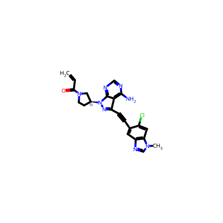 C=CC(=O)N1CC[C@H](n2nc(C#Cc3cc4ncn(C)c4cc3Cl)c3c(N)ncnc32)C1